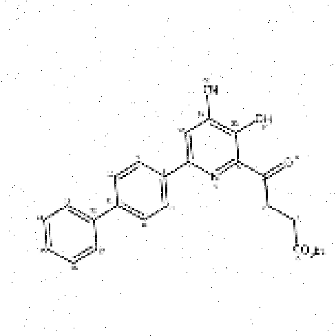 CCOC(=O)CCC(=O)c1nc(-c2ccc(-c3ccccc3)cc2)cc(C#N)c1O